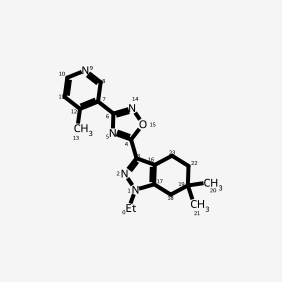 CCn1nc(-c2nc(-c3cnccc3C)no2)c2c1CC(C)(C)CC2